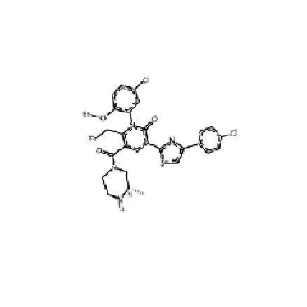 CCOc1ccc(Cl)cc1-n1c(CC(C)C)c(C(=O)N2CCN[C@@H](C)C2)cc(-c2nc(-c3ccc(Cl)cc3)cs2)c1=O